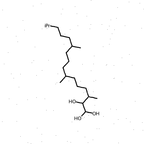 CC(C)CCCC(C)CCCC(C)CCCC(C)C(O)C(O)O